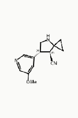 COc1cncc([C@@H]2CNC3(CC3)[C@H]2C#N)c1